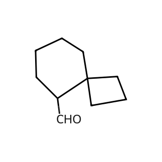 O=CC1CCCCC12CCC2